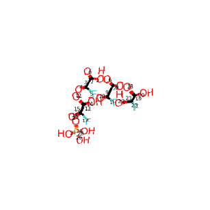 O=C(O)C(=O)F.O=C(O)C(=O)F.O=C(O)C(=O)F.O=C(O)C(=O)F.O=P(O)(O)O